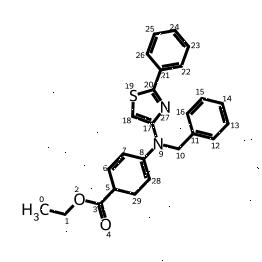 CCOC(=O)C1C=CC(N(Cc2ccccc2)c2csc(-c3ccccc3)n2)=CC1